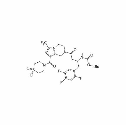 CC(C)(C)OC(=O)NC(CC(=O)N1CCn2c(C(F)(F)F)nc(C(=O)N3CCS(=O)(=O)CC3)c2C1)Cc1cc(F)c(F)cc1F